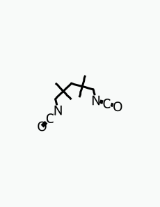 CC(C)(CN=C=O)CC(C)(C)CN=C=O